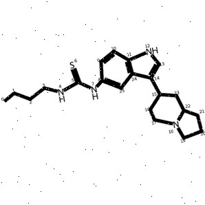 CCCCNC(=S)Nc1ccc2[nH]cc(C3CCN4CCCC4C3)c2c1